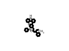 C/C=C\C(=C/CCc1cc(-c2cccc3[nH]c4cccc(Br)c4c23)ccc1N(C)c1ccccc1)c1ccccc1